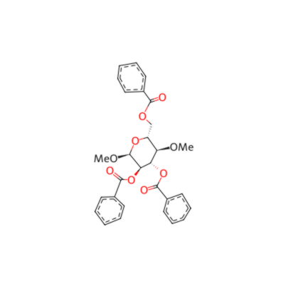 CO[C@H]1O[C@H](COC(=O)c2ccccc2)[C@@H](OC)[C@H](OC(=O)c2ccccc2)[C@H]1OC(=O)c1ccccc1